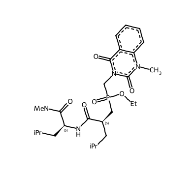 CCOP(=O)(C[C@@H](CC(C)C)C(=O)N[C@@H](CC(C)C)C(=O)NC)Cn1c(=O)c2ccccc2n(C)c1=O